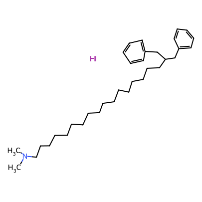 CN(C)CCCCCCCCCCCCCCCCCC(Cc1ccccc1)Cc1ccccc1.I